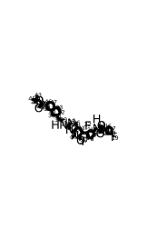 Cn1c(=O)c(-c2c(F)ccc(NS(=O)(=O)N3CC[C@@H](F)C3)c2F)cc2cnc(NCCc3ccc4c(c3)CN(C(=O)OC(C)(C)C)CC4)nc21